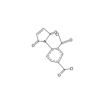 O=C(Cl)c1ccc(N2C(=O)C=CC2=O)c(C(=O)Cl)c1